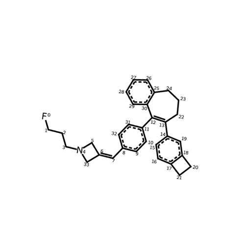 FCCCN1CC(=Cc2ccc(C3=C(c4ccc5c(c4)CC5)CCCc4ccccc43)cc2)C1